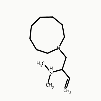 C=CC(CN1CCCCCCCC1)[SiH](C)C